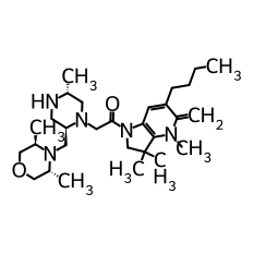 C=C1C(CCCC)=CC2=C(N1C)C(C)(C)CN2C(=O)CN1C[C@@H](C)NC[C@@H]1CN1[C@H](C)COC[C@H]1C